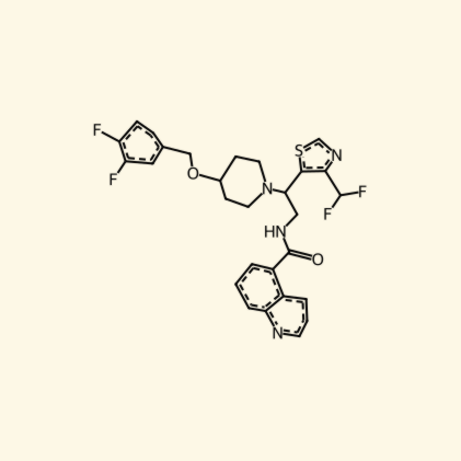 O=C(NCC(c1scnc1C(F)F)N1CCC(OCc2ccc(F)c(F)c2)CC1)c1cccc2ncccc12